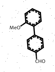 COc1ccccc1-c1ccc(C=O)cc1